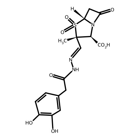 C[C@]1(/C=N/NC(=O)Cc2ccc(O)c(O)c2)[C@H](C(=O)O)N2C(=O)C[C@H]2S1(=O)=O